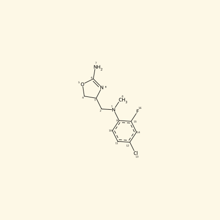 CN(CC1COC(N)=N1)c1ccc(Cl)cc1F